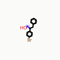 ON=C(Cc1ccccc1)c1ccc(Br)cc1